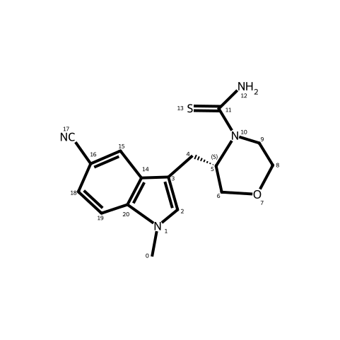 Cn1cc(C[C@H]2COCCN2C(N)=S)c2cc(C#N)ccc21